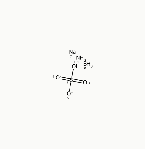 B.N.O=S(=O)([O-])O.[Na+]